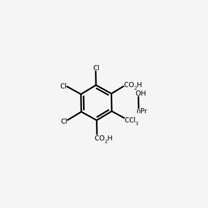 CCCO.O=C(O)c1c(Cl)c(Cl)c(Cl)c(C(=O)O)c1C(Cl)(Cl)Cl